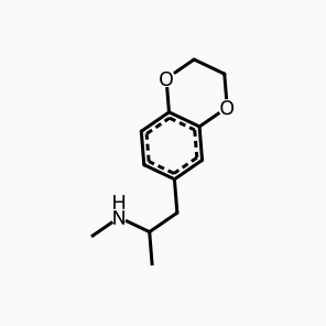 CNC(C)Cc1ccc2c(c1)OCCO2